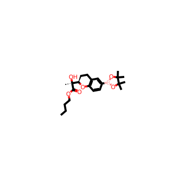 CCCCOC(=O)[C@@](C)(O)[C@H]1CCc2cc(B3OC(C)(C)C(C)(C)O3)ccc2O1